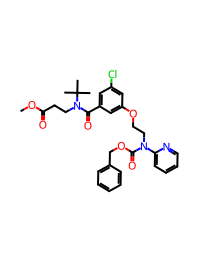 COC(=O)CCN(C(=O)c1cc(Cl)cc(OCCN(C(=O)OCc2ccccc2)c2ccccn2)c1)C(C)(C)C